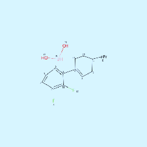 CCCC1CC=C(c2cccc(F)c2F)CC1.OBO